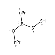 CCCOB(CCC)SS